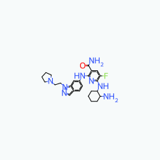 NC(=O)c1cc(F)c(NC2CCCCC2N)nc1Nc1ccc2cnn(CCN3CCCC3)c2c1